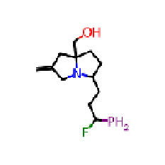 C=C1CN2C(CCC(F)P)CCC2(CO)C1